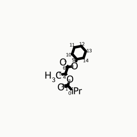 CC(C)C(=O)OC(C)C(=O)OC1CCCCC1